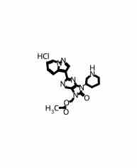 CC(=O)OCn1c(=O)n([C@H]2CCCNC2)c2nc(-c3cnn4ccccc34)ncc21.Cl